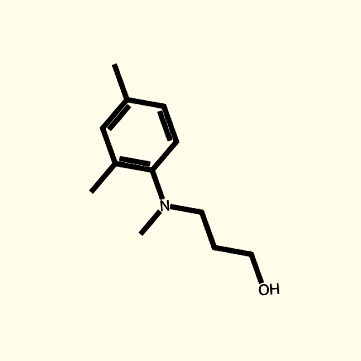 Cc1ccc(N(C)CCCO)c(C)c1